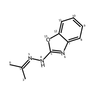 CC(C)=NNc1nc2ccccc2o1